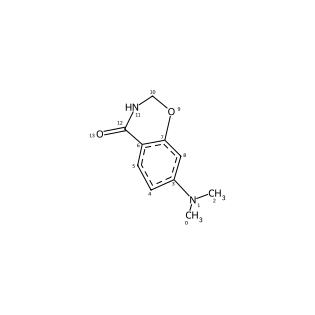 CN(C)c1ccc2c(c1)OCNC2=O